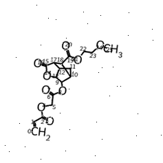 C=CC(=O)OCC(=O)OC1C2CC3C1OC(=O)C3C2C(=O)OCCOC